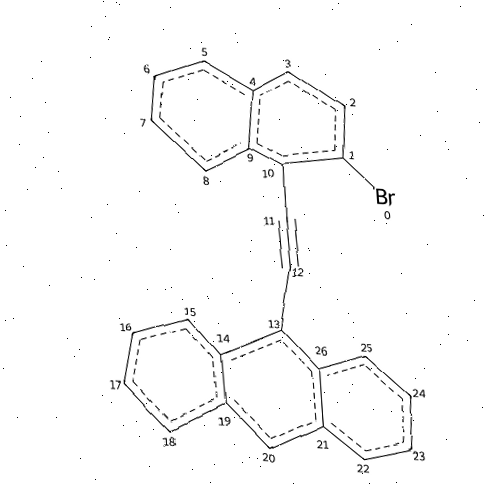 Brc1ccc2ccccc2c1C#Cc1c2ccccc2cc2ccccc12